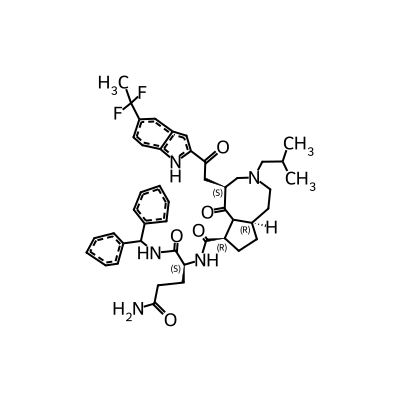 CC(C)CN1CC[C@H]2CC[C@@H](C(=O)N[C@@H](CCC(N)=O)C(=O)NC(c3ccccc3)c3ccccc3)C2C(=O)[C@@H](CC(=O)c2cc3cc(C(C)(F)F)ccc3[nH]2)C1